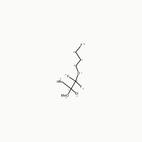 CCCCC(CC)(OC)C(F)(F)OCCCF